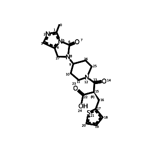 Cc1ncc2n1C(=O)N(C1CCN(C(=O)[C@@H](Cc3cccs3)C(=O)O)CC1)C2